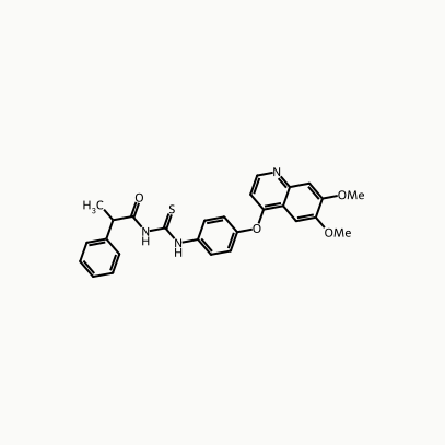 COc1cc2nccc(Oc3ccc(NC(=S)NC(=O)C(C)c4ccccc4)cc3)c2cc1OC